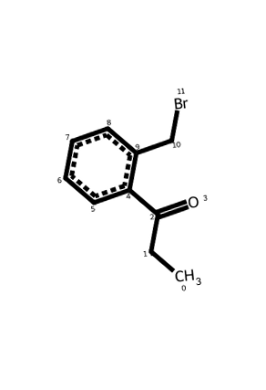 C[CH]C(=O)c1ccccc1CBr